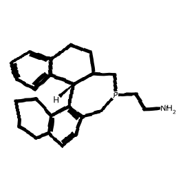 NCCP1Cc2ccc3c(c2[C@@H]2c4ccccc4CCC2C1)CCCC3